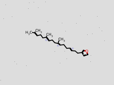 CC(C)=CCC/C(C)=C/CC/C(C)=C/CC/C=C/CCc1ccoc1